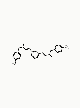 COc1ccc(CC(C)/C=C/c2cccc(/C=C/C(C)Cc3ccc(OC)cc3)c2)cc1